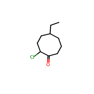 CCC1CCCC(=O)C(Cl)CC1